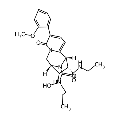 CCCNC(=O)N1[C@@H]2c3ccc(-c4ccccc4OC)c(=O)n3C[C@H]1[C@H](CO)[C@H]2C(=O)NCC